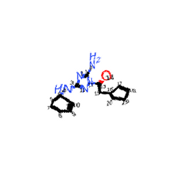 Nc1nc(Nc2ccccc2)nn1C(=O)CC1C=CCC1